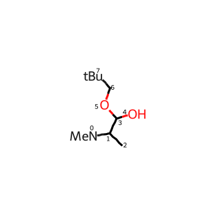 CNC(C)C(O)OCC(C)(C)C